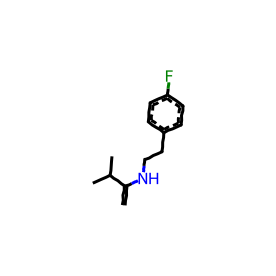 C=C(NCCc1ccc(F)cc1)C(C)C